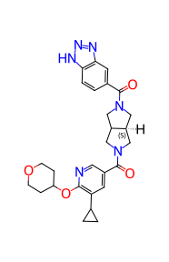 O=C(c1cnc(OC2CCOCC2)c(C2CC2)c1)N1CC2CN(C(=O)c3ccc4[nH]nnc4c3)C[C@H]2C1